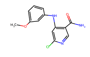 COc1cccc(Nc2cc(Cl)ncc2C(N)=O)c1